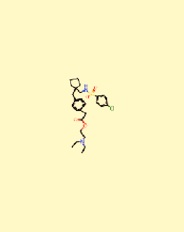 CCN(CC)CCOC(=O)Cc1ccc(CC2(CNS(=O)(=O)c3ccc(Cl)cc3)CCCC2)cc1